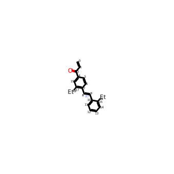 C=CC(=O)c1ccc(/C=C/c2ccccc2CC)c(CC)c1